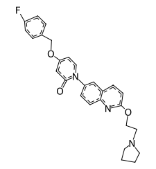 O=c1cc(OCc2ccc(F)cc2)ccn1-c1ccc2nc(OCCN3CCCC3)ccc2c1